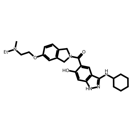 CCN(C)CCOc1ccc2c(c1)CN(C(=O)c1cc3c(NC4CCCCC4)n[nH]c3cc1O)C2